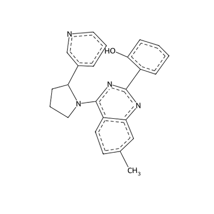 Cc1ccc2c(N3CCCC3c3cccnc3)nc(-c3ccccc3O)nc2c1